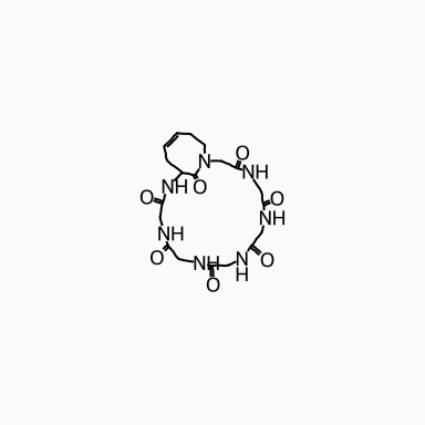 O=C1CNC(=O)CNC(=O)CN2CCC=CCC(NC(=O)CNC(=O)CNC(=O)CN1)C2=O